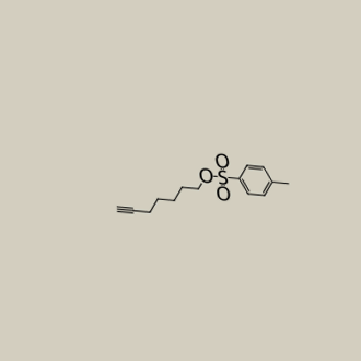 C#CCCCCCOS(=O)(=O)c1ccc(C)cc1